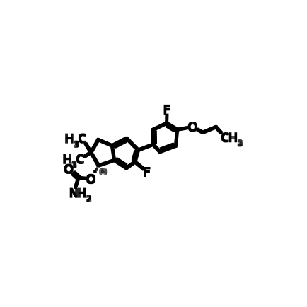 CCCOc1ccc(-c2cc3c(cc2F)[C@H](OC(N)=O)C(C)(C)C3)cc1F